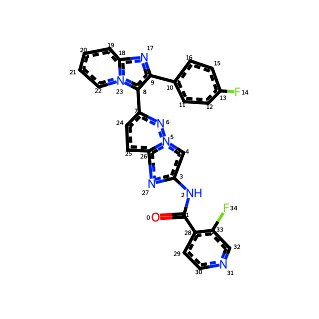 O=C(Nc1cn2nc(-c3c(-c4ccc(F)cc4)nc4ccccn34)ccc2n1)c1ccncc1F